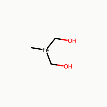 [CH3][Fe]([CH2]O)[CH2]O